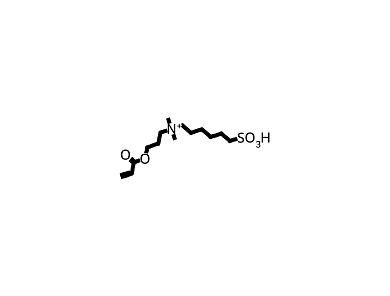 C=CC(=O)OCCC[N+](C)(C)CCCCCCS(=O)(=O)O